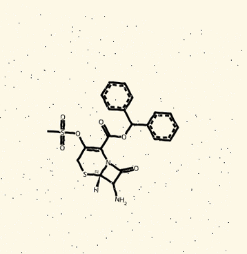 CS(=O)(=O)OC1=C(C(=O)OC(c2ccccc2)c2ccccc2)N2C(=O)C(N)[C@@H]2SC1